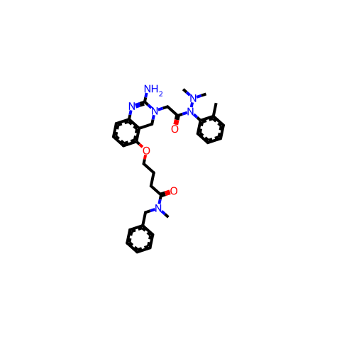 Cc1ccccc1N(C(=O)CN1Cc2c(cccc2OCCCC(=O)N(C)Cc2ccccc2)N=C1N)N(C)C